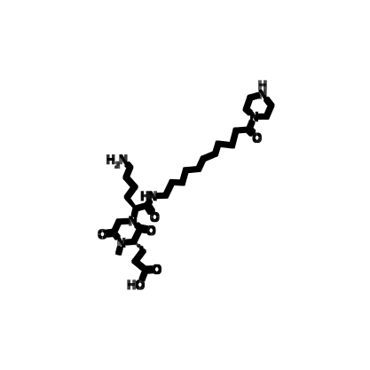 CN1C(=O)CN([C@@H](CCCCN)C(=O)NCCCCCCCCCCC(=O)N2CCNCC2)C(=O)[C@@H]1CCC(=O)O